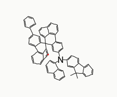 CC1(C)c2ccccc2-c2ccc(N(c3ccc4c(c3)C3(c5cc(-c6ccccc6)ccc5-c5cccc6cccc3c56)c3cccc5cccc-4c35)c3cccc4ccccc34)cc21